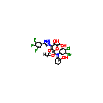 CO[C@@H]1[C@@H](n2cc(-c3cc(F)c(F)c(F)c3)nn2)[C@@H](O)[C@@H](CO)O[C@H]1C(=O)N(c1ccc(Cl)c(Br)c1)[C@H]1CCCC[C@@H]1O